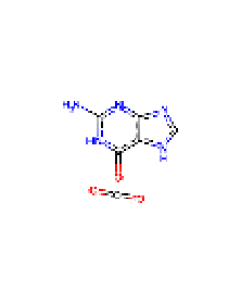 Nc1nc2nc[nH]c2c(=O)[nH]1.O=C=O